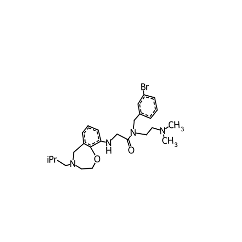 CC(C)CN1CCOc2c(cccc2NCC(=O)N(CCN(C)C)Cc2cccc(Br)c2)C1